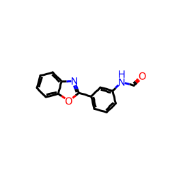 O=CNc1cccc(-c2nc3ccccc3o2)c1